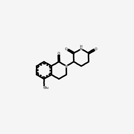 CC(C)(C)c1cccc2c1CCN(C1CCC(=O)NC1=O)C2=O